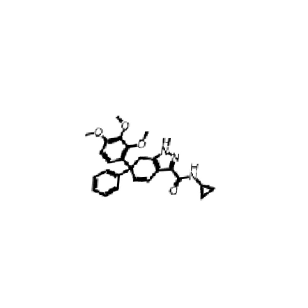 COc1ccc(C2(c3ccccc3)C=Cc3c(C(=O)NC4CC4)n[nH]c3C2)c(OC)c1OC